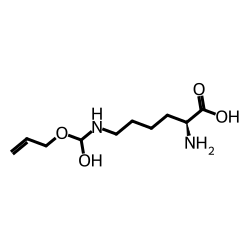 C=CCOC(O)NCCCC[C@H](N)C(=O)O